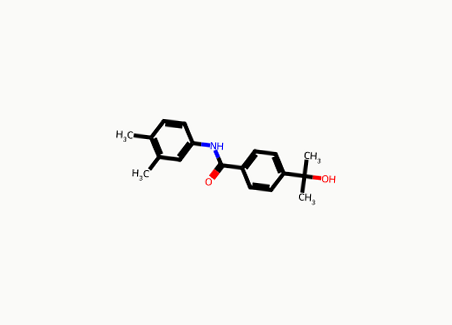 Cc1ccc(NC(=O)c2ccc(C(C)(C)O)cc2)cc1C